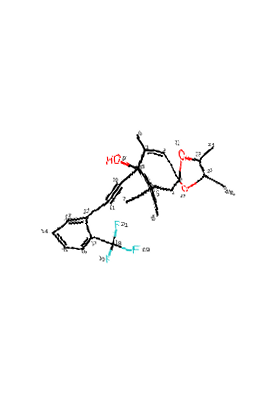 CC1=CC2(CC(C)(C)C1(O)C#Cc1ccccc1C(F)(F)F)OC(C)C(C)O2